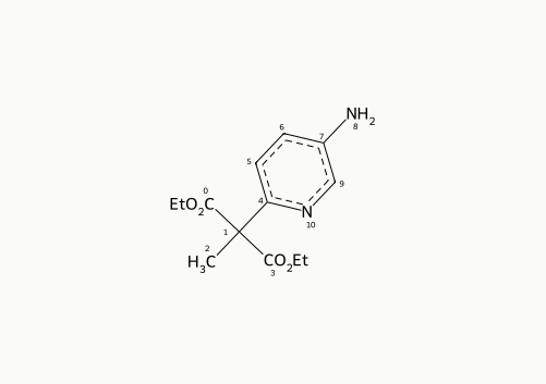 CCOC(=O)C(C)(C(=O)OCC)c1ccc(N)cn1